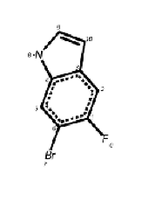 Fc1cc2c(cc1Br)[N]C=C2